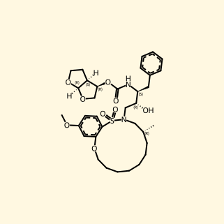 COc1ccc2c(c1)OCCCCCCC[C@@H](C)CN(C[C@@H](O)[C@H](Cc1ccccc1)NC(=O)O[C@H]1CO[C@H]3OCC[C@H]31)S2(=O)=O